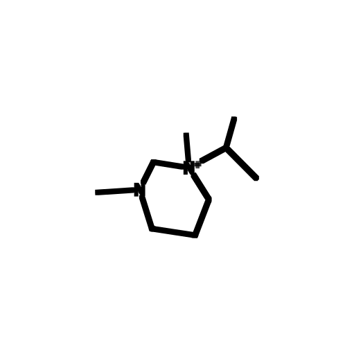 CC(C)[N+]1(C)CCCN(C)C1